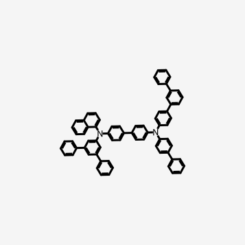 c1ccc(-c2ccc(N(c3ccc(-c4ccc(N(c5cc(-c6ccccc6)cc(-c6ccccc6)c5)c5cccc6ccccc56)cc4)cc3)c3ccc(-c4cccc(-c5ccccc5)c4)cc3)cc2)cc1